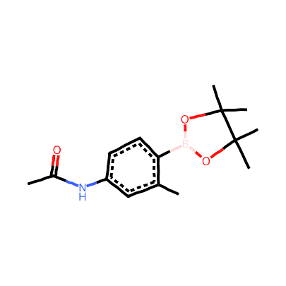 CC(=O)Nc1ccc(B2OC(C)(C)C(C)(C)O2)c(C)c1